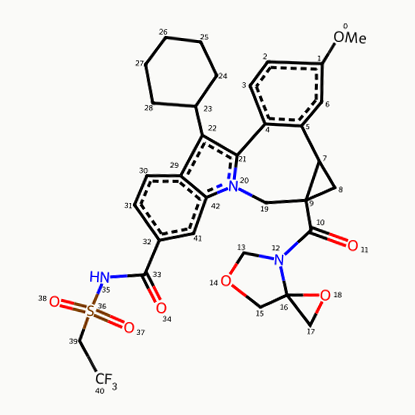 COc1ccc2c(c1)C1CC1(C(=O)N1COCC13CO3)Cn1c-2c(C2CCCCC2)c2ccc(C(=O)NS(=O)(=O)CC(F)(F)F)cc21